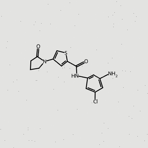 Nc1cc(Cl)cc(NC(=O)c2cc(N3CCCC3=O)cs2)c1